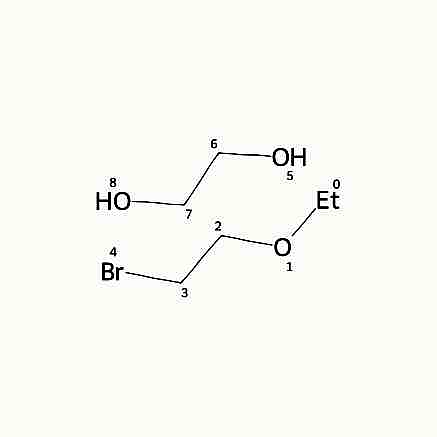 CCOCCBr.OCCO